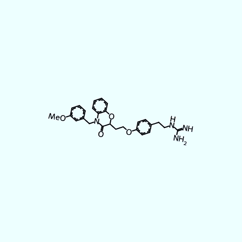 COc1cccc(CN2C(=O)C(CCOc3ccc(CCNC(=N)N)cc3)Oc3ccccc32)c1